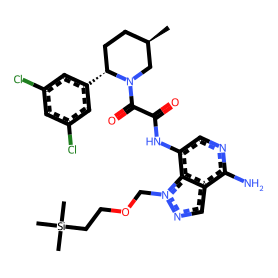 C[C@@H]1CC[C@@H](c2cc(Cl)cc(Cl)c2)N(C(=O)C(=O)Nc2cnc(N)c3cnn(COCC[Si](C)(C)C)c23)C1